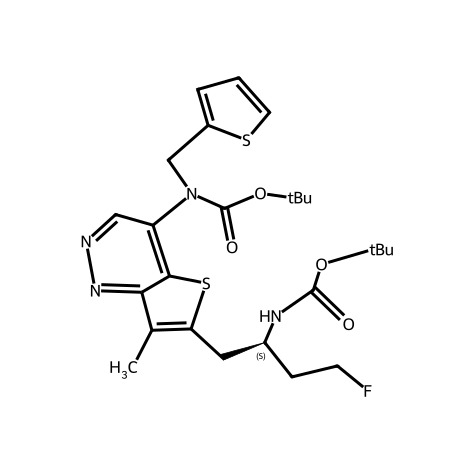 Cc1c(C[C@H](CCF)NC(=O)OC(C)(C)C)sc2c(N(Cc3cccs3)C(=O)OC(C)(C)C)cnnc12